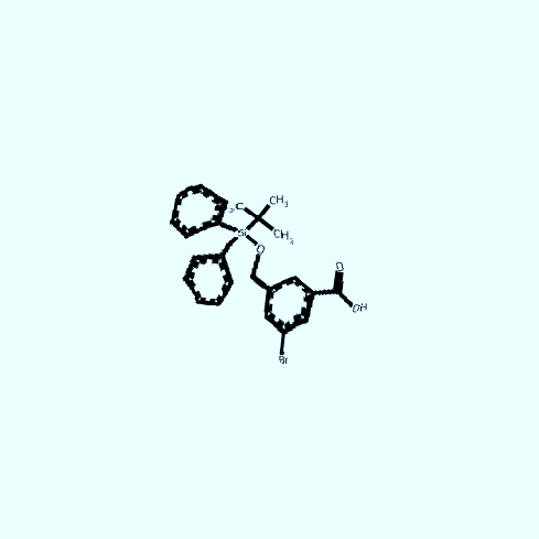 CC(C)(C)[Si](OCc1cc(Br)cc(C(=O)O)c1)(c1ccccc1)c1ccccc1